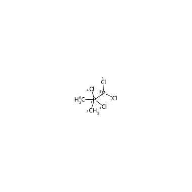 CP(C)(Cl)(Cl)P(Cl)Cl